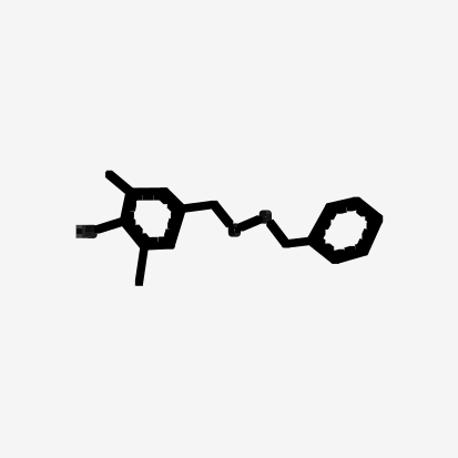 Cc1cc(COOCc2ccccc2)cc(C)c1O